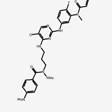 C=CC(=O)N(C)c1cc(Nc2ncc(Cl)c(NCCCN(NC)C(=O)c3ccc(NC)cc3)n2)ccc1F